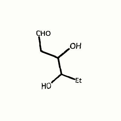 CCC(O)C(O)CC=O